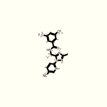 Cc1nc([C@H](C)NC(=O)c2cc(C(F)(F)F)cc(C(F)(F)F)c2)n(-c2ccc(C#N)cn2)n1